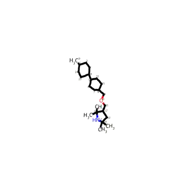 CC1CCC(C2CCC(COCC3CC(C)(C)NC3(C)C)CC2)CC1